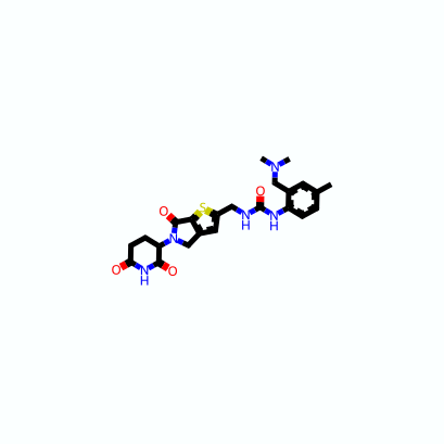 Cc1ccc(NC(=O)NCc2cc3c(s2)C(=O)N(C2CCC(=O)NC2=O)C3)c(CN(C)C)c1